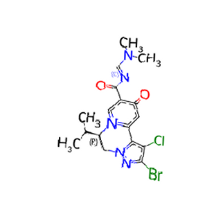 CC(C)[C@@H]1Cn2nc(Br)c(Cl)c2-c2cc(=O)c(C(=O)/N=C/N(C)C)cn21